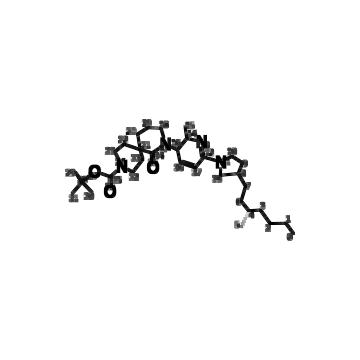 CCCC[C@H](C)CCC1CCN(C2=NC(C)C(N3CCCC4(CCN(C(=O)OC(C)(C)C)CC4)C3=O)C=C2)C1